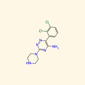 Nc1nc(N2CCNCC2)nnc1-c1cccc(Cl)c1Cl